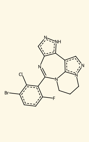 Fc1ccc(Br)c(Cl)c1C1=Nc2cn[nH]c2-c2cnn3c2N1CCC3